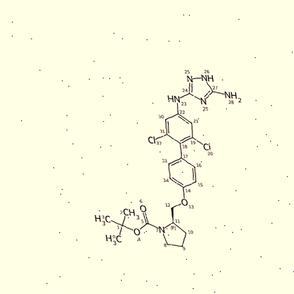 CC(C)(C)OC(=O)N1CCC[C@@H]1COc1ccc(-c2c(Cl)cc(Nc3n[nH]c(N)n3)cc2Cl)cc1